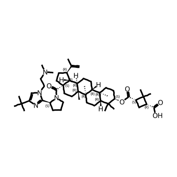 C=C(C)[C@@H]1CC[C@]2(C(=O)N3CCC[C@H]3c3nc(C(C)(C)C)cn3CCN(C)C)CC[C@]3(C)[C@H](CC[C@@H]4[C@@]5(C)CC[C@H](OC(=O)[C@H]6C[C@@H](C(=O)O)C6(C)C)C(C)(C)[C@@H]5CC[C@]43C)[C@@H]12